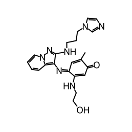 CC1=C/C(=N\c2c(NCCCn3ccnc3)nn3ccccc23)C(NCCO)=CC1=O